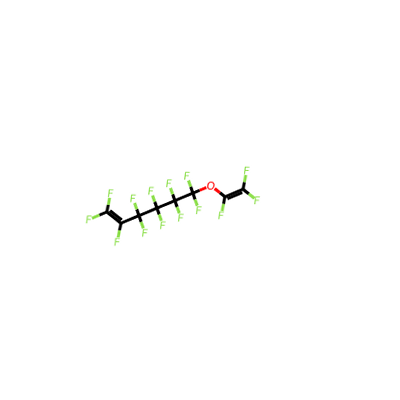 FC(F)=C(F)OC(F)(F)C(F)(F)C(F)(F)C(F)(F)C(F)=C(F)F